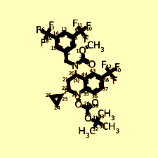 COC(=O)N(Cc1cc(C(F)(F)F)cc(C(F)(F)F)c1)[C@H]1C[C@@H](C2CC2)N(OC(=O)OC(C)(C)C)c2ccc(C(F)(F)F)cc21